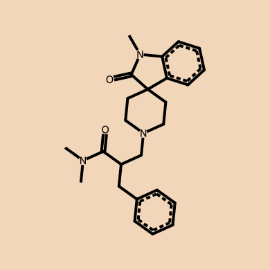 CN(C)C(=O)C(Cc1ccccc1)CN1CCC2(CC1)C(=O)N(C)c1ccccc12